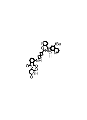 CC(C)(C)c1cc(C(NC(=O)C2CC3(CC(Nc4cccc5c4C(=O)N(C4CCC(=O)NC4=O)C5=O)C3)C2)c2cccnc2)c(O)c2ncccc12